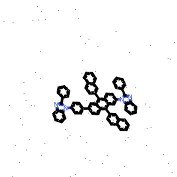 c1ccc(-c2nc3ccccc3n2-c2ccc(-c3ccc4c(-c5ccc6ccccc6c5)c5cc(-n6c(-c7ccccc7)nc7ccccc76)ccc5c(-c5ccc6ccccc6c5)c4c3)cc2)cc1